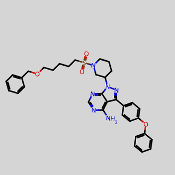 Nc1ncnc2c1c(-c1ccc(Oc3ccccc3)cc1)nn2C1CCCN(S(=O)(=O)CCCCCOCc2ccccc2)C1